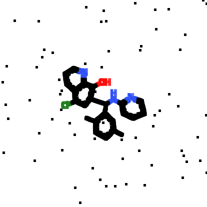 Cc1ccc(C)c(C(Nc2ccccn2)c2cc(Cl)c3cccnc3c2O)c1